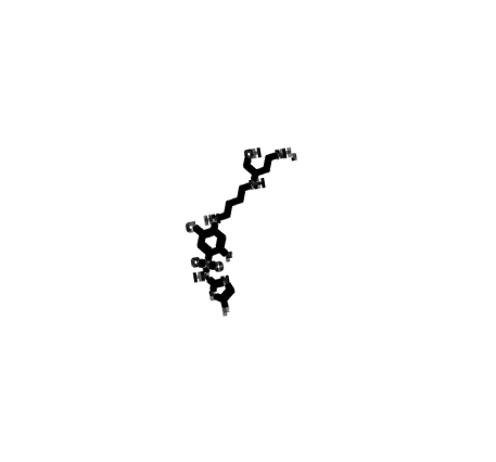 NCCC(CO)NCCCCNc1cc(F)c(S(=O)(=O)Nc2ncc(F)s2)cc1Cl